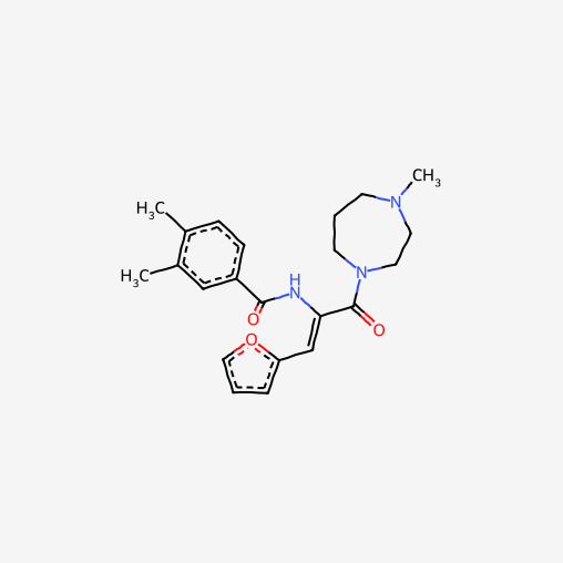 Cc1ccc(C(=O)N/C(=C\c2ccco2)C(=O)N2CCCN(C)CC2)cc1C